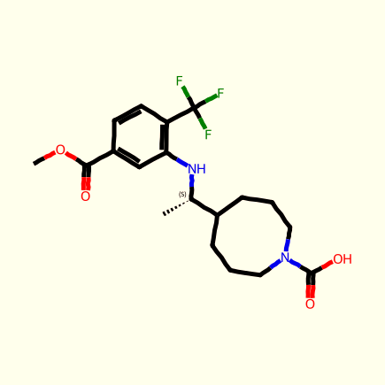 COC(=O)c1ccc(C(F)(F)F)c(N[C@@H](C)C2CCCN(C(=O)O)CCC2)c1